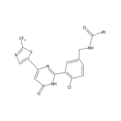 CC(C)C(=O)NCc1ccc(Cl)c(-c2nc(-c3cnc(C(F)(F)F)s3)cc(=O)[nH]2)c1